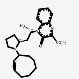 CCOC(=O)c1nc2ccccc2n([C@@H](C)C[C@@H]2CCCN2C2/C=C\CCCCC2)c1=O